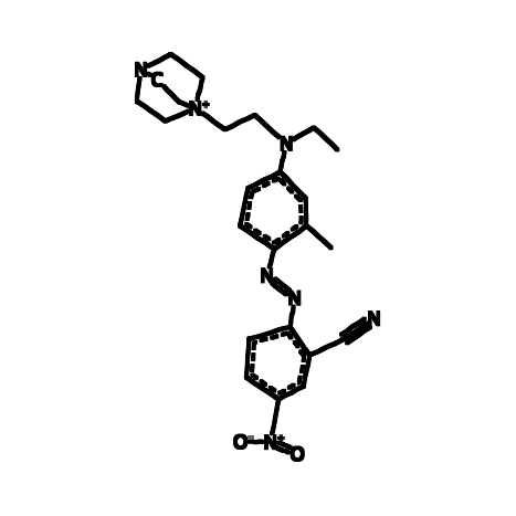 CCN(CC[N+]12CCN(CC1)CC2)c1ccc(/N=N/c2ccc([N+](=O)[O-])cc2C#N)c(C)c1